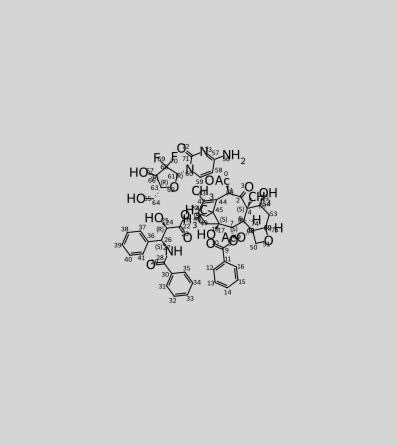 CC(=O)O[C@H]1C(=O)[C@@]2(C)[C@H]([C@H](OC(=O)c3ccccc3)[C@]3(O)C[C@H](OC(=O)[C@H](O)[C@@H](NC(=O)c4ccccc4)c4ccccc4)C(C)=C1C3(C)C)[C@]1(OC(C)=O)CO[C@@H]1C[C@@H]2O.Nc1ccn([C@@H]2O[C@H](CO)[C@@H](O)C2(F)F)c(=O)n1